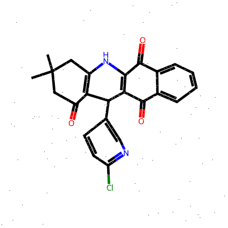 CC1(C)CC(=O)C2=C(C1)NC1=C(C(=O)c3ccccc3C1=O)C2c1ccc(Cl)nc1